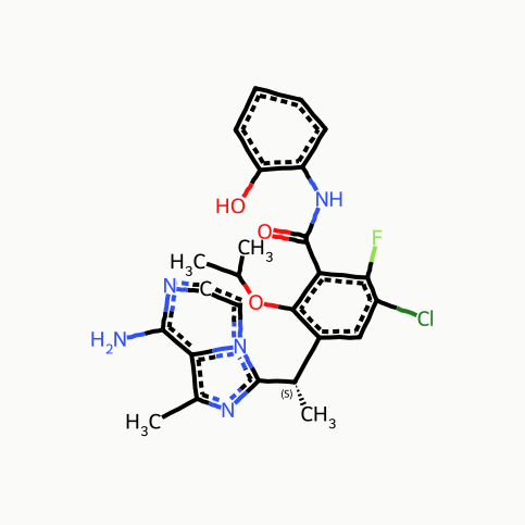 Cc1nc([C@@H](C)c2cc(Cl)c(F)c(C(=O)Nc3ccccc3O)c2OC(C)C)n2ccnc(N)c12